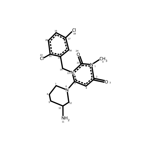 Cn1c(=O)cc(N2CCCC(N)C2)n(Cc2cc(Cl)ccc2Cl)c1=O